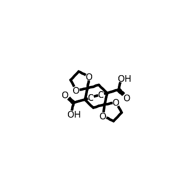 O=C(O)C12CCC(C(=O)O)(CC13OCCO3)C1(C2)OCCO1